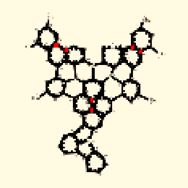 CC(C)(C)c1cc(-c2ccc3c(c2)N(c2c(-c4ccccc4)cc(C(C)(C)C)cc2-c2ccccc2)c2cc(-c4ccc5c(c4)c4cccc6c7ccccc7n5c64)cc4c2B3c2ccc(-c3cc(C(C)(C)C)cc(C(C)(C)C)c3)cc2N4c2c(-c3ccccc3)cc(C(C)(C)C)cc2-c2ccccc2)cc(C(C)(C)C)c1